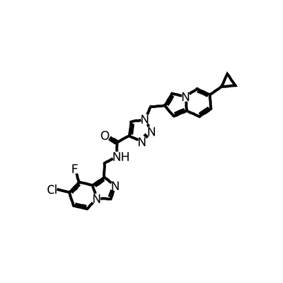 O=C(NCc1ncn2ccc(Cl)c(F)c12)c1cn(Cc2cc3ccc(C4CC4)cn3c2)nn1